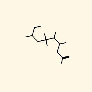 CC(CO)CC(C)(C)C(O)C(C)CC(=O)O